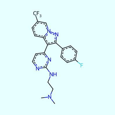 CN(C)CCNc1nccc(-c2c(-c3ccc(F)cc3)nn3cc(C(F)(F)F)ccc23)n1